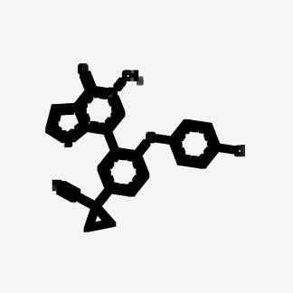 Cn1cc(-c2cc(C3(C#N)CC3)ccc2Oc2ccc(Cl)cc2)c2sccc2c1=O